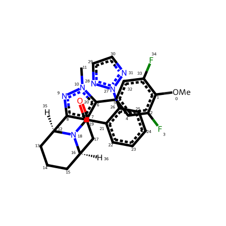 COc1c(F)cc(-c2c3c(nn2C)[C@@H]2CCC[C@H](C3)N2C(=O)c2ccccc2-n2nccn2)cc1F